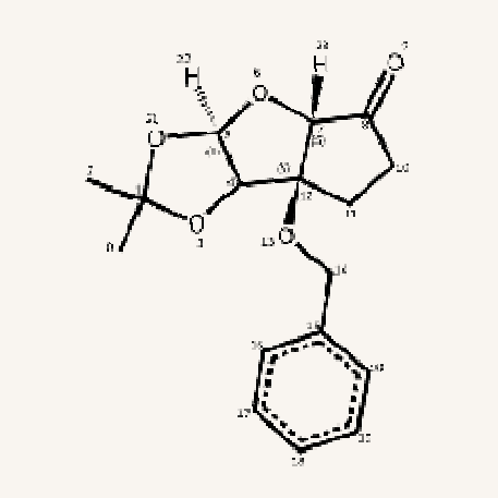 CC1(C)OC2[C@H](O[C@@H]3C(=O)CC[C@]23OCc2ccccc2)O1